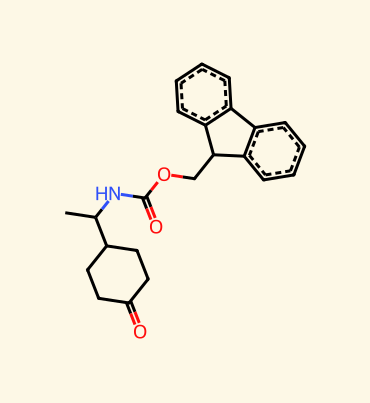 CC(NC(=O)OCC1c2ccccc2-c2ccccc21)C1CCC(=O)CC1